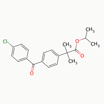 CC(C)OC(=O)C(C)(C)c1ccc(C(=O)c2ccc(Cl)cc2)cc1